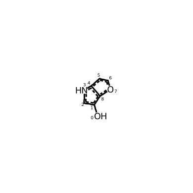 Oc1c[nH]c2ccoc12